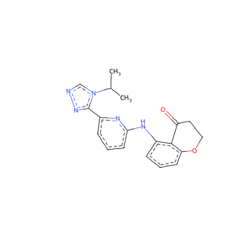 CC(C)n1cnnc1-c1cccc(Nc2cccc3c2C(=O)CCO3)n1